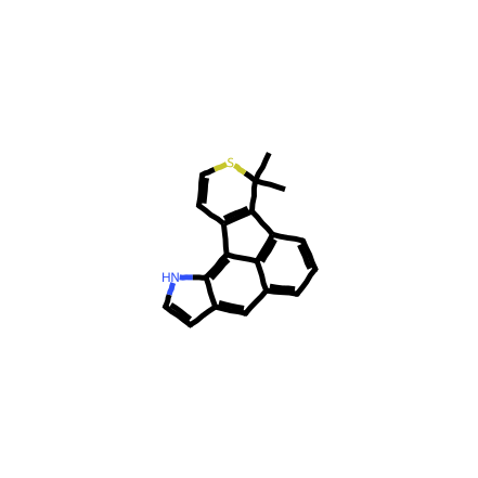 CC1(C)SC=CC2=C1c1cccc3cc4cc[nH]c4c2c13